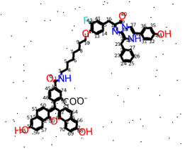 O=C(NCCCCCCCCOc1ccc(Cc2nc3c(Cc4ccccc4)[nH]c(-c4ccc(O)cc4)cn-3c2=O)cc1F)c1ccc(-c2c3ccc4cc(O)ccc4c3[o+]c3c2ccc2cc(O)ccc23)c(C(=O)[O-])c1